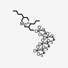 CCCCC(CC)[CH2][Mo+4][CH2]C(CC)CCCC.O=P1([O-])OSSO1.O=P1([O-])OSSO1.O=P1([O-])OSSO1.O=P1([O-])OSSO1